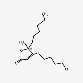 CCCCCC[C@@]1(C)SC(=O)C=C1OCCCCCl